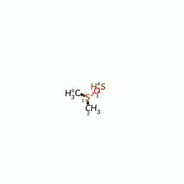 C[S+](C)[O-].S